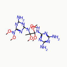 CON(OC)c1nc(N)nc(N(OC)C(C)(OC)C(Nc2nc(N)nc(N)n2)(OC)OC)n1